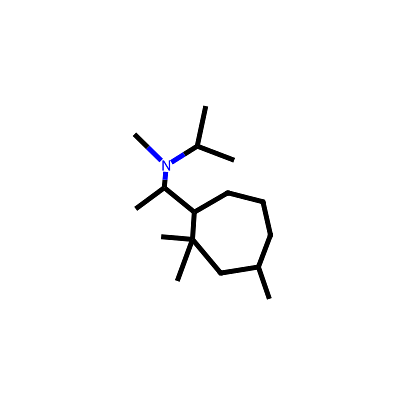 CC1CCCC(C(C)N(C)C(C)C)C(C)(C)C1